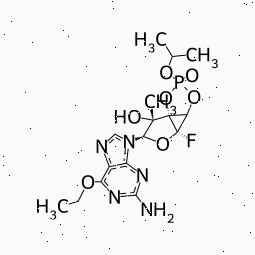 CCOc1nc(N)nc2c1ncn2[C@@H]1O[C@]2(F)C3OP(=O)(OC(C)C)O[C@]32[C@@]1(C)O